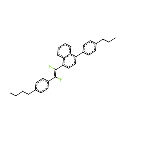 CCCCc1ccc(/C(F)=C(\F)c2ccc(-c3ccc(CCC)cc3)c3ccccc23)cc1